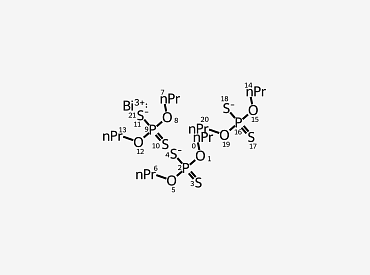 CCCOP(=S)([S-])OCCC.CCCOP(=S)([S-])OCCC.CCCOP(=S)([S-])OCCC.[Bi+3]